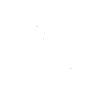 CC(CCc1ccn(S(=O)(=O)c2ccccc2)c1)OS(N)(=O)=O